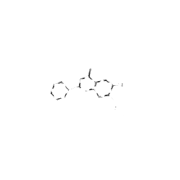 COc1cc2oc(-c3ccccc3)cc(=O)c2cc1N